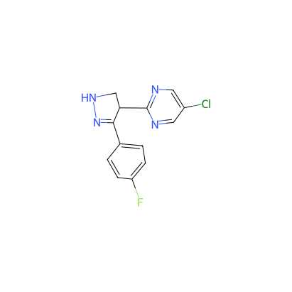 Fc1ccc(C2=NNCC2c2ncc(Cl)cn2)cc1